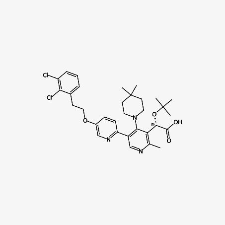 Cc1ncc(-c2ccc(OCCc3cccc(Cl)c3Cl)cn2)c(N2CCC(C)(C)CC2)c1[C@H](OC(C)(C)C)C(=O)O